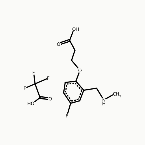 CNCc1cc(F)ccc1OCCC(=O)O.O=C(O)C(F)(F)F